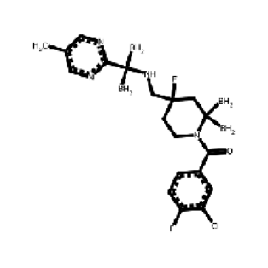 BC(B)(NCC1(F)CCN(C(=O)c2ccc(F)c(Cl)c2)C(B)(B)C1)c1ncc(C)cn1